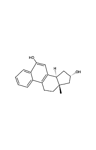 C[C@@]12CCc3c(cc(O)c4ccccc34)[C@H]1C[C@H](O)C2